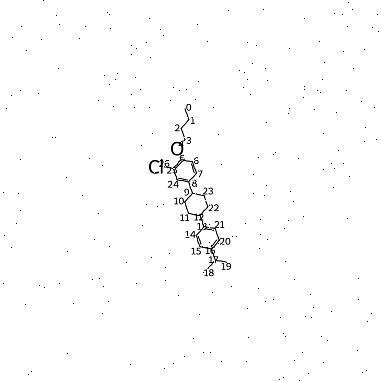 CCCCOc1ccc(C2CCC(c3ccc(C(C)C)cc3)CC2)cc1Cl